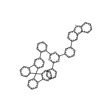 c1ccc(-c2nc(-c3cccc(-c4ccc5sc6ccccc6c5c4)c3)nc(-c3ccccc3-c3ccc4c(c3)-c3ccccc3C43c4ccccc4-c4ccccc43)n2)cc1